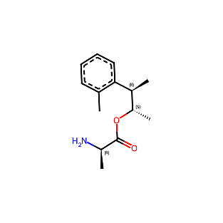 Cc1ccccc1[C@@H](C)[C@H](C)OC(=O)[C@@H](C)N